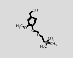 COc1cc(CO)ccc1OCOCC[Si](C)(C)C